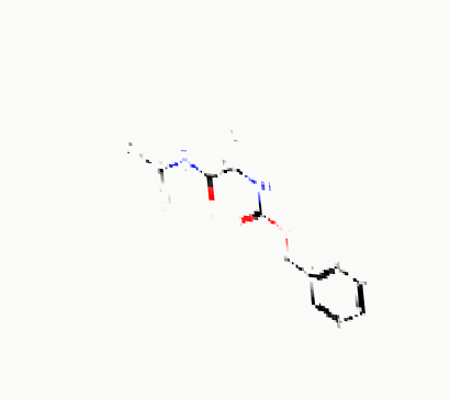 CC(=O)[C@H](C)NC(=O)[C@@H](NC(=O)OCc1ccccc1)C(C)C